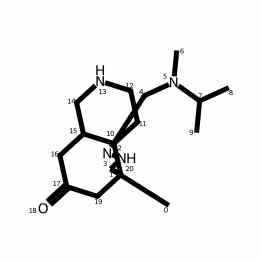 CC1NN(CN(C)C(C)C)C23CCNCC2CC(=O)CC13